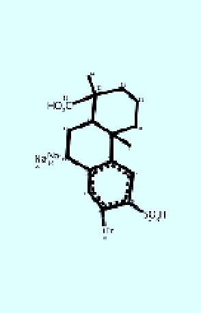 CC(C)c1cc2c(cc1S(=O)(=O)O)C1(C)CCCC(C)(C(=O)O)C1CC2.[Na].[Na]